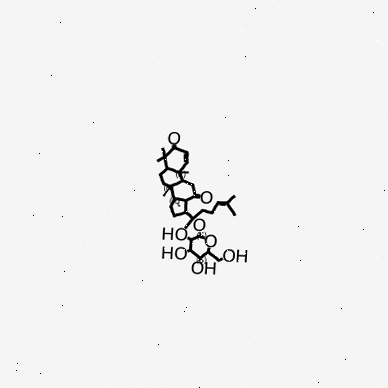 CC(C)=CCCC(C)(O[C@@H]1OC(CO)[C@@H](O)C(O)C1O)C1CC[C@]2(C)C1C(=O)CC1[C@@]3(C)C=CC(=O)C(C)(C)C3CC[C@]12C